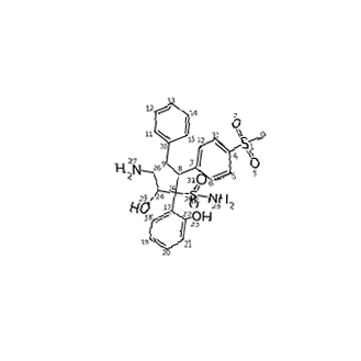 CS(=O)(=O)c1ccc(C(Cc2ccccc2)C(c2ccccc2O)(C(O)CN)S(N)(=O)=O)cc1